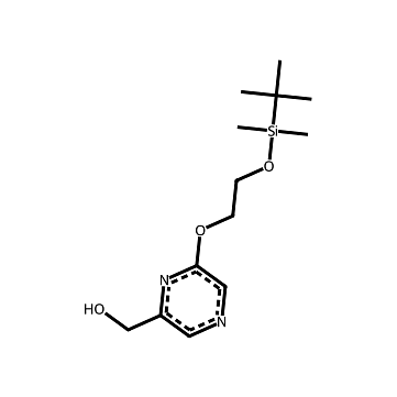 CC(C)(C)[Si](C)(C)OCCOc1cncc(CO)n1